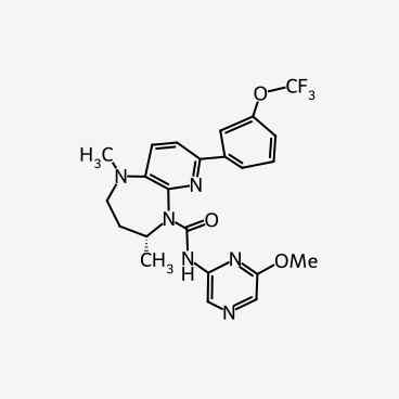 COc1cncc(NC(=O)N2c3nc(-c4cccc(OC(F)(F)F)c4)ccc3N(C)CC[C@H]2C)n1